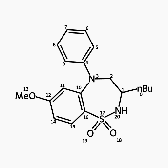 CCCCC1CN(c2ccccc2)c2cc(OC)ccc2S(=O)(=O)N1